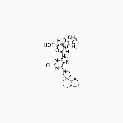 CC1(C)O[C@@H]2[C@H](O1)[C@@H](CO)O[C@H]2n1cnc2c(N3CCC4(CCCc5ccccc54)C3)nc(Cl)nc21